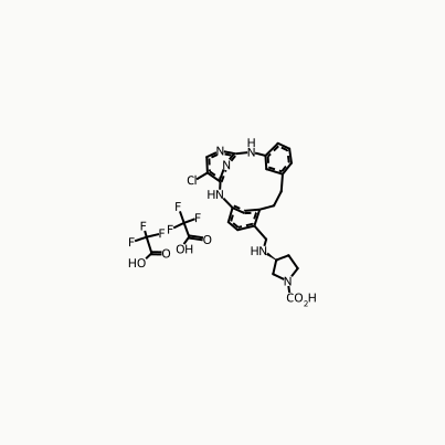 O=C(O)C(F)(F)F.O=C(O)C(F)(F)F.O=C(O)N1CC[C@H](NCc2ccc3cc2CCc2cccc(c2)Nc2ncc(Cl)c(n2)N3)C1